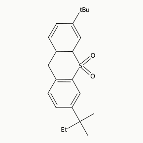 CCC(C)(C)c1ccc2c(c1)S(=O)(=O)C1C=C(C(C)(C)C)C=CC1C2